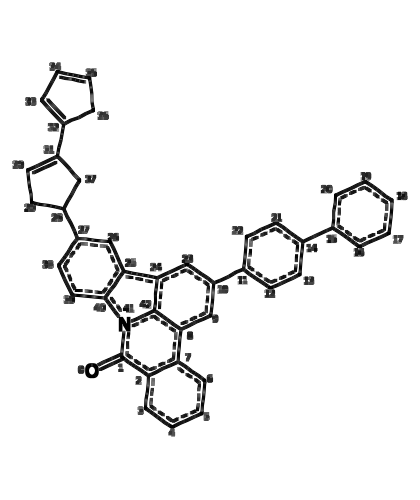 O=c1c2ccccc2c2cc(-c3ccc(-c4ccccc4)cc3)cc3c4cc(C5CC=C(C6=CC=CC6)C5)ccc4n1c23